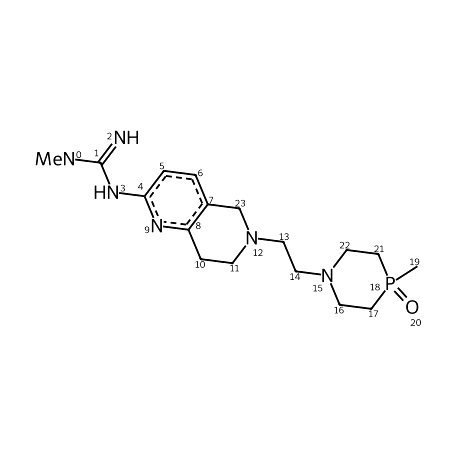 CNC(=N)Nc1ccc2c(n1)CCN(CCN1CCP(C)(=O)CC1)C2